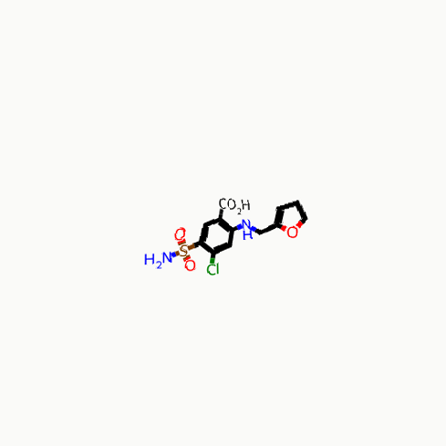 NS(=O)(=O)c1cc(C(=O)O)c(NCC2=CCCO2)cc1Cl